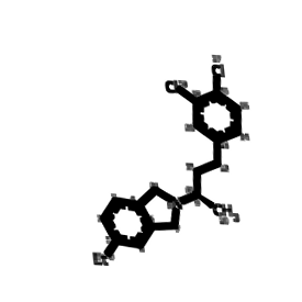 CCc1ccc2c(c1)CN([C@H](C)CCc1ccc(Cl)c(Cl)c1)C2